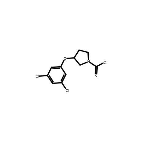 S=C(Cl)N1CCC(Oc2cc(Cl)cc(Cl)c2)C1